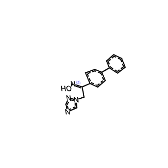 O/N=C(\Cn1cncn1)c1ccc(-c2ccccc2)cc1